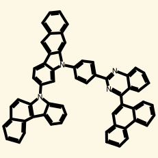 c1ccc2cc3c(cc2c1)c1ccc(-n2c4ccccc4c4c5ccccc5ccc42)cc1n3-c1ccc(-c2nc(-c3cc4ccccc4c4ccccc34)c3ccccc3n2)cc1